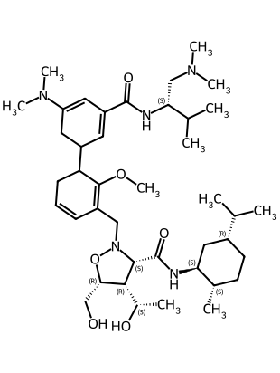 COC1=C(CN2O[C@@H](CO)[C@@H]([C@H](C)O)[C@H]2C(=O)N[C@H]2C[C@H](C(C)C)CC[C@@H]2C)C=CCC1C1C=C(C(=O)N[C@H](CN(C)C)C(C)C)C=C(N(C)C)C1